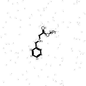 CC(C)OC(=O)CSCc1ccccc1